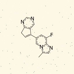 Cc1cnc2c(F)cc(C3=CCc4ncncc43)cn12